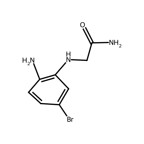 NC(=O)CNc1cc(Br)ccc1N